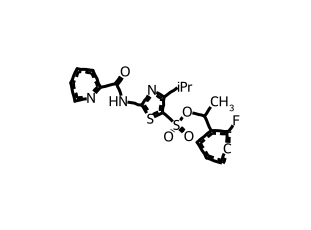 CC(C)c1nc(NC(=O)c2ccccn2)sc1S(=O)(=O)OC(C)c1ccccc1F